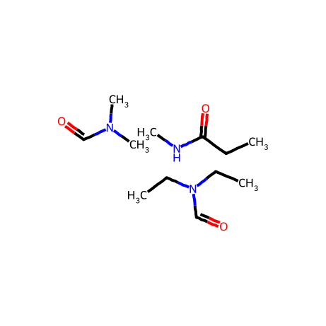 CCC(=O)NC.CCN(C=O)CC.CN(C)C=O